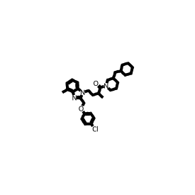 Cc1cccc2c1nc(COc1ccc(Cl)cc1)n2CCC(C)C(=O)N1CCCC(CC2CCCCC2)C1